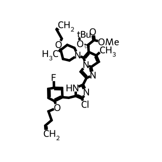 C=CCCOc1ccc(F)cc1Cc1[nH]c(-c2cn3c(N4CCC(C)(OCC=C)CC4)c([C@H](OC(C)(C)C)C(=O)OC)c(C)cc3n2)nc1Cl